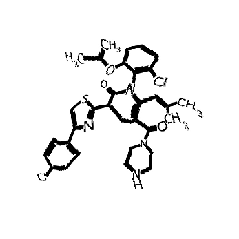 CC(C)=Cc1c(C(=O)N2CCNCC2)cc(-c2nc(-c3ccc(Cl)cc3)cs2)c(=O)n1-c1c(Cl)cccc1OC(C)C